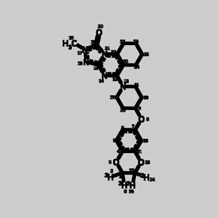 [2H]C1([2H])Oc2ccc(OC3CCN(c4nc5nn(C)c(=O)n5c5c4CCCC5)CC3)cc2OC1([2H])[2H]